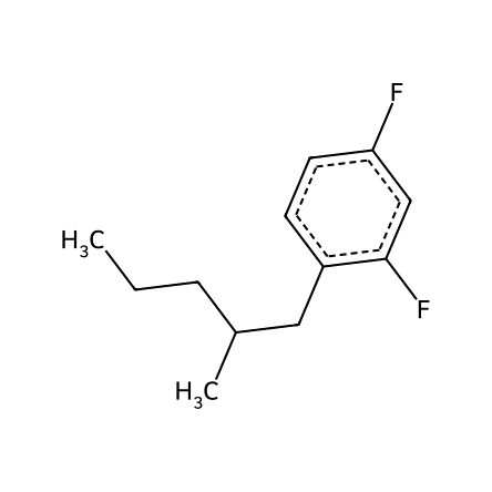 CCCC(C)Cc1ccc(F)cc1F